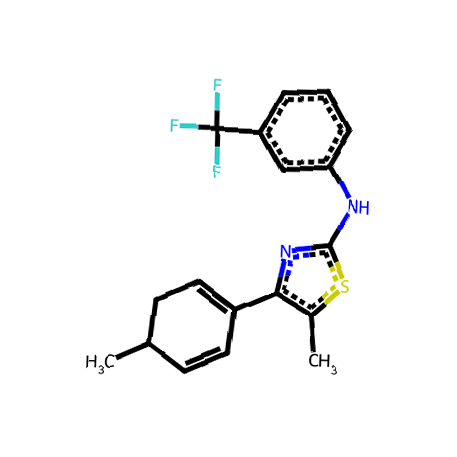 Cc1sc(Nc2cccc(C(F)(F)F)c2)nc1C1=CCC(C)C=C1